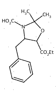 CCOC(=O)C1OC(C)(C)N(C(=O)O)C1Cc1ccccc1